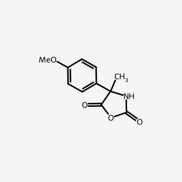 COc1ccc(C2(C)NC(=O)OC2=O)cc1